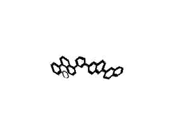 c1cc(-c2ccc3cc(-c4ccc5ccccc5c4)ccc3c2)cc(-c2ccc3c4c(cccc24)-c2ccccc2O3)c1